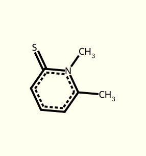 Cc1cccc(=S)n1C